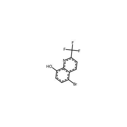 Oc1ccc(Br)c2ccc(C(F)(F)F)nc12